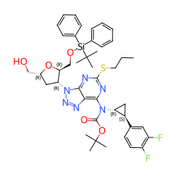 CCCSc1nc(N(C(=O)OC(C)(C)C)[C@@H]2C[C@H]2c2ccc(F)c(F)c2)c2nnn([C@@H]3C[C@H](CO)O[C@H]3CO[Si](c3ccccc3)(c3ccccc3)C(C)(C)C)c2n1